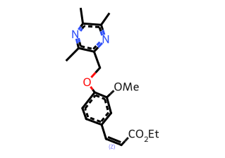 CCOC(=O)/C=C\c1ccc(OCc2nc(C)c(C)nc2C)c(OC)c1